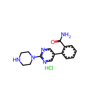 Cl.NC(=O)c1ccccc1-c1cnc(N2CCNCC2)nc1